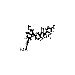 C[C@H](Nc1nc(-c2c[nH]c3ncc(C#CCO)cc23)ncc1F)c1ccc(F)cc1